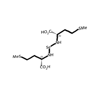 CSCC[C@H](N[Se]N[C@@H](CCSC)C(=O)O)C(=O)O